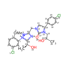 COc1ccc(Cl)cc1-n1nc(Cn2cc(-c3ccc(Cl)cc3)n(CC(O)C(F)(F)F)c2=O)nc1[C@H](C)O